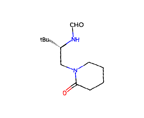 CC(C)(C)[C@@H](CN1CCCCC1=O)NC=O